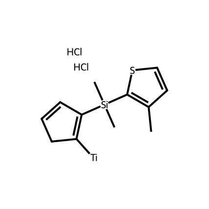 Cc1ccsc1[Si](C)(C)C1=[C]([Ti])CC=C1.Cl.Cl